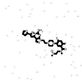 CN(CC[S+](C)[O-])C(=O)c1cc(N2CCN(CCn3ncc4c3nc(N)n3nc(-c5ccco5)cc43)CC2)c(F)cc1F